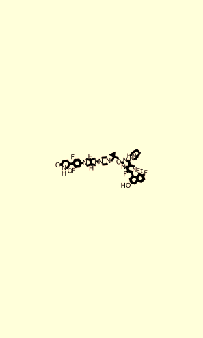 CCc1c(F)ccc2cc(O)cc(-c3ncc4c(N5CC6CCC(C5)N6)nc(OCC5(CN6CCN(N7C[C@H]8CN(c9cc(F)c(C%10CCC(=O)NC%10=O)c(F)c9)C[C@H]8C7)CC6)CC5)nc4c3F)c12